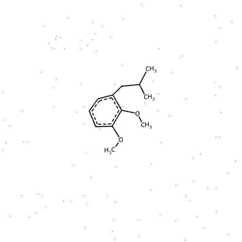 COc1cccc(CC(C)C)c1OC